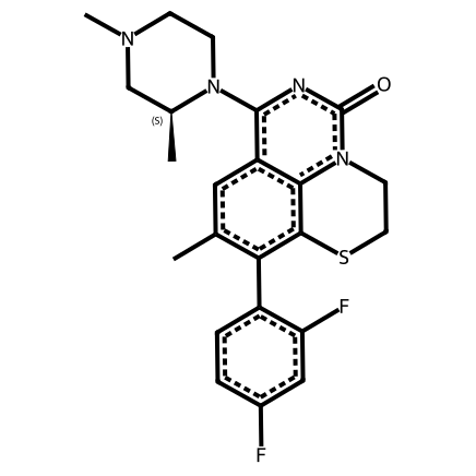 Cc1cc2c(N3CCN(C)C[C@@H]3C)nc(=O)n3c2c(c1-c1ccc(F)cc1F)SCC3